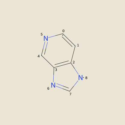 [c]1cc2c(cn1)N=C[N]2